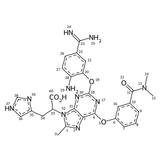 Cc1nc2c(Oc3cccc(C(=O)N(C)C)c3)nc(Oc3cc(C(=N)N)ccc3N)nc2n1C(Cc1c[nH]cn1)C(=O)O